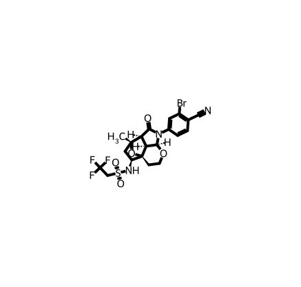 C[C@@]12C[C@H](NS(=O)(=O)CC(F)(F)F)[C@]3(CCO[C@H]4[C@@H]3[C@@H]1C(=O)N4c1ccc(C#N)c(Br)c1)O2